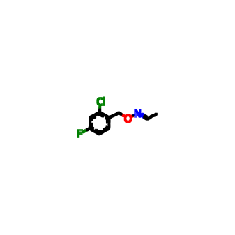 CC=NOCc1ccc(F)cc1Cl